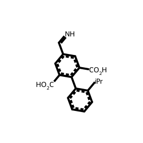 CC(C)c1ccccc1-c1c(C(=O)O)cc(C=N)cc1C(=O)O